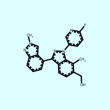 Cc1c(CO)ccc2c(-c3cccc4nn(C)cc34)nn(-c3ccc(F)nc3)c12